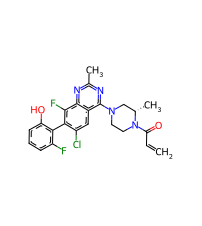 C=CC(=O)N1CCN(c2nc(C)nc3c(F)c(-c4c(O)cccc4F)c(Cl)cc23)C[C@@H]1C